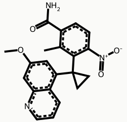 COc1cc(C2(c3c([N+](=O)[O-])ccc(C(N)=O)c3C)CC2)c2cccnc2c1